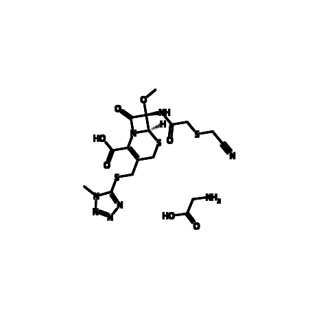 CO[C@@]1(NC(=O)CSCC#N)C(=O)N2C(C(=O)O)=C(CSc3nnnn3C)CS[C@@H]21.NCC(=O)O